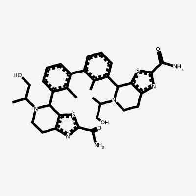 Cc1c(-c2cccc(C3c4sc(C(N)=O)nc4CCN3C(C)CO)c2C)cccc1C1c2sc(C(N)=O)nc2CCN1C(C)CO